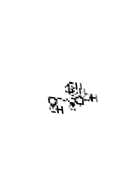 O=C(CCCc1cccc(O)c1)c1ccc(O)cc1SP(=O)(O)O